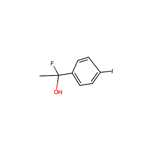 CC(O)(F)c1ccc(I)cc1